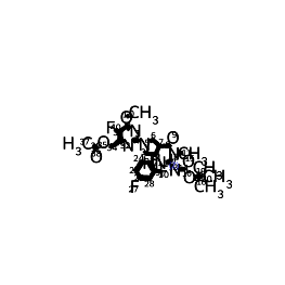 COc1nc(N2CC3C(=O)N(C)/C(=N\C(=O)OC(C)(C)C)N[C@@]3(c3ccc(F)cc3F)C2)nc(COC(C)=O)c1F